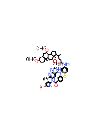 CC(C)c1ccc2c(Nc3cc(C(=O)Nc4ccc(Br)cn4)ccc3Sc3ccc(NC(=O)CCC(C)C4CCC5C6C(OC=O)CC7CC(OC=O)CCC7(C)C6CC(OC=O)C45C)cc3)ncnc2n1